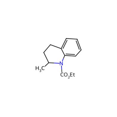 CCOC(=O)N1c2ccccc2CCC1C